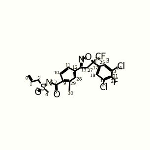 C=CCS(C)(=O)=NC(=O)c1ccc(C2=NOC(c3cc(Cl)c(F)c(Cl)c3)(C(F)(F)F)C2)cc1C